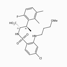 COCCCNc1cc(Cl)ccc1S(=O)(=O)N[C@H](C(=O)O)[C@H](C)c1c(F)ccc(C)c1C